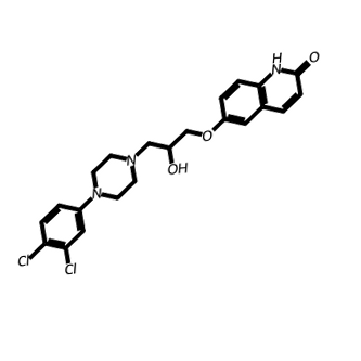 O=c1ccc2cc(OCC(O)CN3CCN(c4ccc(Cl)c(Cl)c4)CC3)ccc2[nH]1